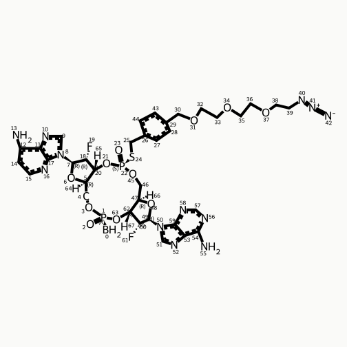 B[P@@]1(=O)OC[C@H]2O[C@@H](n3cnc4c(N)ccnc43)[C@H](F)[C@@H]2O[P@@](=O)(SCc2ccc(COCCOCCOCCN=[N+]=[N-])cc2)OC[C@H]2O[C@@H](n3cnc4c(N)ncnc43)[C@H](F)[C@@H]2O1